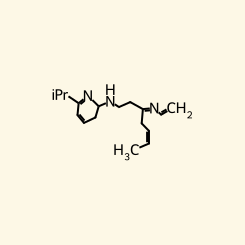 C=C/N=C(\C/C=C\C)CCNC1CC=CC(C(C)C)=N1